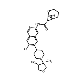 C[C@]1(N2CCC(c3cc4cc(NC(=O)[C@@H]5[C@H]6CCCO[C@H]65)ncc4cc3Cl)CC2)COC[C@H]1O